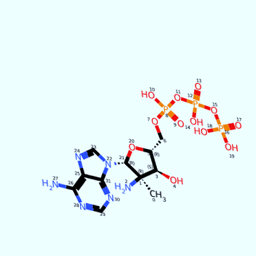 C[C@@]1(N)[C@H](O)[C@@H](COP(=O)(O)OP(=O)(O)OP(=O)(O)O)O[C@H]1n1cnc2c(N)ncnc21